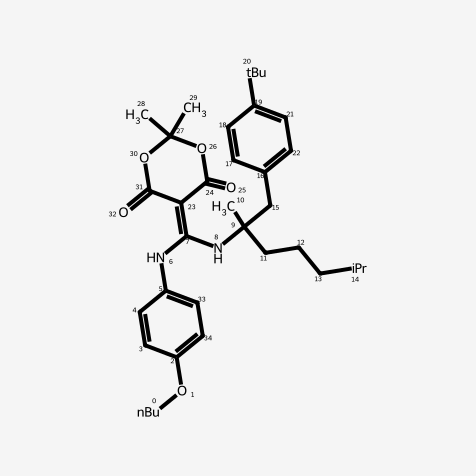 CCCCOc1ccc(NC(NC(C)(CCCC(C)C)Cc2ccc(C(C)(C)C)cc2)=C2C(=O)OC(C)(C)OC2=O)cc1